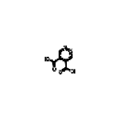 O=C(O)c1cnncc1C(=O)O